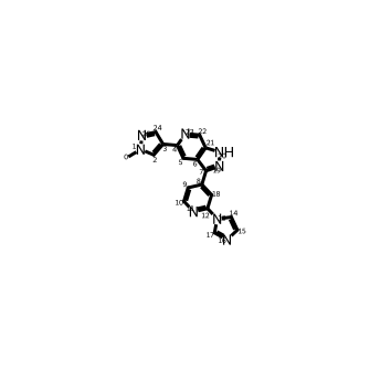 Cn1cc(-c2cc3c(-c4ccnc(-n5ccnc5)c4)n[nH]c3cn2)cn1